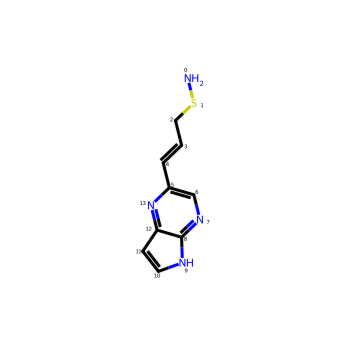 NSCC=Cc1cnc2[nH]ccc2n1